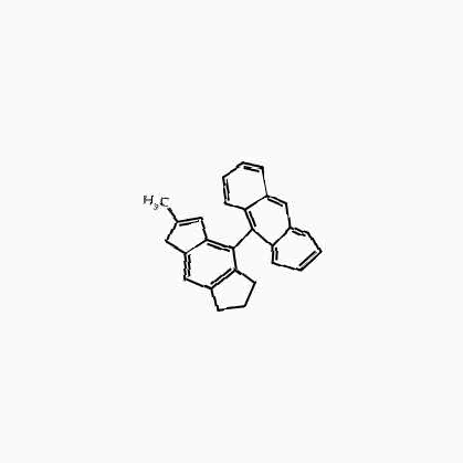 CC1=Cc2c(cc3c(c2-c2c4ccccc4cc4ccccc24)CCC3)C1